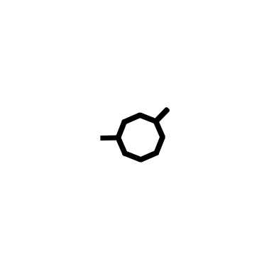 CC1CCCCC(C)CC1